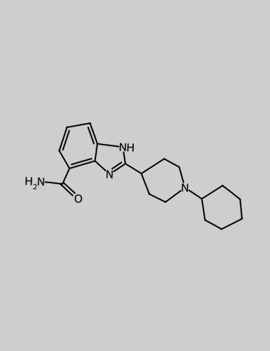 NC(=O)c1cccc2[nH]c(C3CCN(C4CCCCC4)CC3)nc12